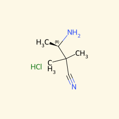 C[C@@H](N)C(C)(C)C#N.Cl